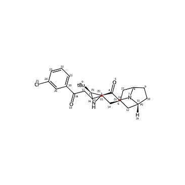 CC(C)(C)[C@@H]1N[C@@H]1C(=O)CN1C2CC[C@@H]1C[C@@H](CCCCC(=O)c1cccc(Cl)c1)C2